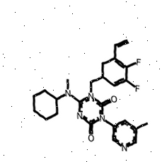 C=CC1=C(F)C(F)=CC(Cn2c(N(C)C3CCCCC3)nc(=O)n(-c3cncc(C)c3)c2=O)C1